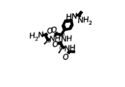 C=C(N)Nc1ccc([C@@H](NC(=O)[C@H](C)NC(C)=O)C(=O)N[C@@H](C)C(N)=O)cc1